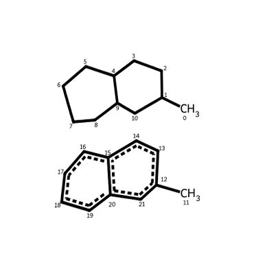 CC1CCC2CCCCC2C1.Cc1ccc2ccccc2c1